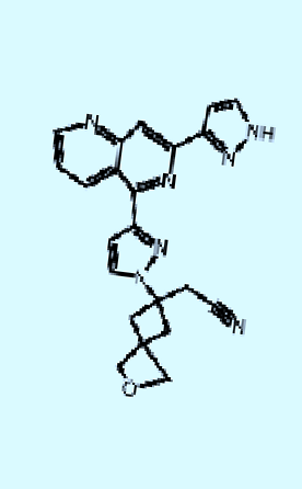 N#CCC1(n2ccc(-c3nc(-c4cc[nH]n4)cc4ncccc34)n2)CC2(COC2)C1